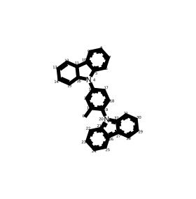 Cc1cc(N2c3ccccc3C3C=CC=CC32)ccc1-n1c2ccccc2c2ccccc21